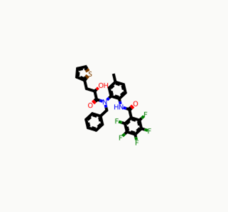 Cc1ccc(NC(=O)c2c(F)c(F)c(F)c(F)c2F)c(N(Cc2ccccc2)C(=O)C(O)Cc2cccs2)c1